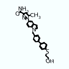 Cc1cc(C(N)=O)nn1-c1ccc2c(ccn2Cc2ccc(-c3ccc(SCCO)cc3)cc2)c1